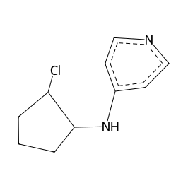 ClC1CCCC1Nc1ccncc1